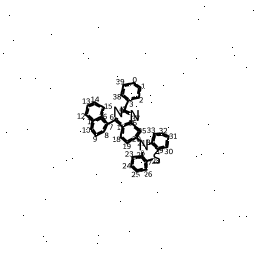 c1ccc(-c2nc(-c3cccc4ccccc34)c3ccc(N4c5ccccc5Sc5ccccc54)cc3n2)cc1